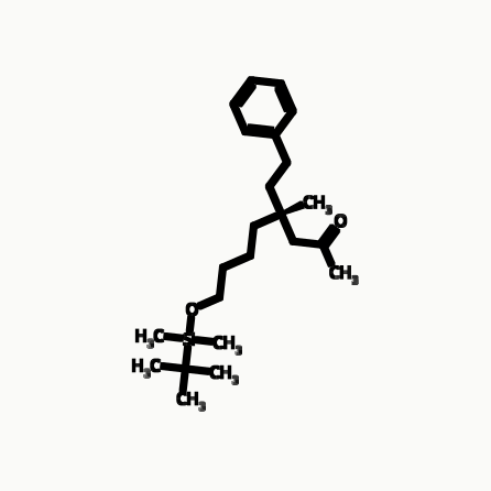 CC(=O)C[C@](C)(CCCCO[Si](C)(C)C(C)(C)C)CCc1ccccc1